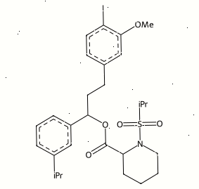 COc1cc(CCC(OC(=O)C2CCCCN2S(=O)(=O)C(C)C)c2cccc(C(C)C)c2)ccc1C